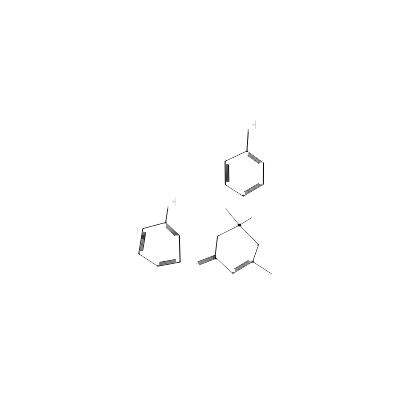 C.CC1=CC(=O)CC(C)(C)C1.Oc1ccccc1.Oc1ccccc1